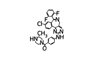 CC1CN(C(=O)c2ccc(Nc3ncc4c(n3)-c3ccc(Cl)cc3C(c3c(F)cccc3F)=NC4)cc2)CCN1